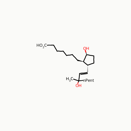 CCCCCC(C)(O)C=C[C@H]1CC[C@H](O)[C@@H]1CCCCCCC(=O)O